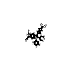 COC(=O)C1CC2(C1)CC(c1c(C3CCOCC3)n(-c3ccc(F)c(F)c3)c3cc4c(C#N)n[nH]c4cc13)C2